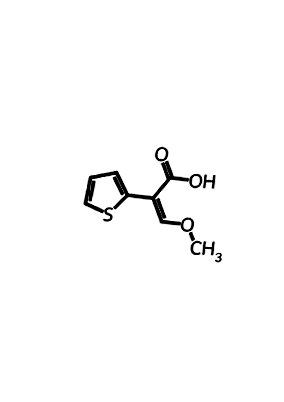 COC=C(C(=O)O)c1cccs1